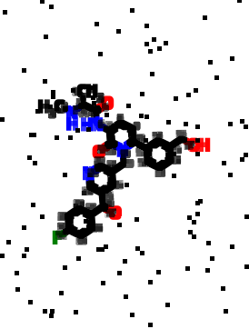 CN[C@@H](C)C(=O)Nc1ccc(-c2cccc(CO)c2)n(Cc2cncc(C(=O)c3ccc(F)cc3)c2)c1=O